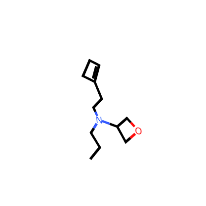 CCCN(CCC1=CCC1)C1COC1